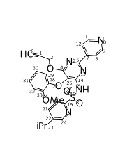 C#CCOc1nc(-c2ccncc2)nc(NS(=O)(=O)c2ccc(C(C)C)cn2)c1Oc1ccccc1OC